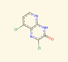 O=c1[nH]c2nccc(Cl)c2nc1Cl